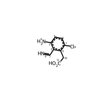 N=Cc1c(N)ccc(Cl)c1CC(=O)O